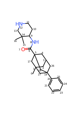 CC12CC3CC(C(=O)NC4CCNCC4(C)C)(C1)CC(c1ccccc1)(C3)C2